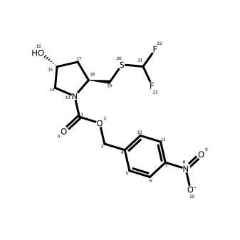 O=C(OCc1ccc([N+](=O)[O-])cc1)N1C[C@H](O)C[C@H]1CSC(F)F